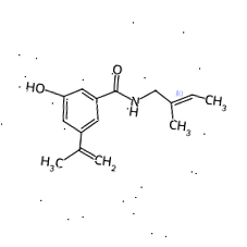 C=C(C)c1cc(O)cc(C(=O)NC/C(C)=C/C)c1